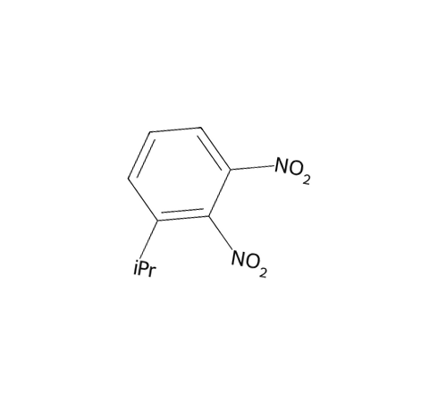 CC(C)c1cccc([N+](=O)[O-])c1[N+](=O)[O-]